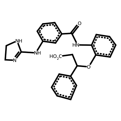 O=C(O)CC(Oc1ccccc1NC(=O)c1cccc(NC2=NCCN2)c1)c1ccccc1